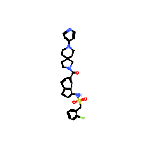 O=C(c1ccc2c(c1)C(NS(=O)(=O)Cc1ccccc1F)CC2)N1CCC2(CCN(c3ccncc3)CC2)C1